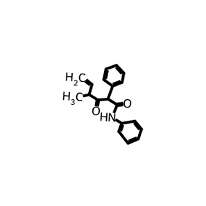 C=CC(C)C(=O)C(C(=O)Nc1ccccc1)c1ccccc1